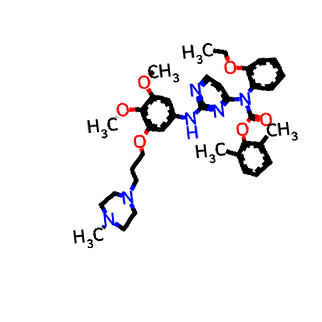 CCOc1ccccc1N(C(=O)Oc1c(C)cccc1C)c1ccnc(Nc2cc(OC)c(OC)c(OCCCN3CCN(C)CC3)c2)n1